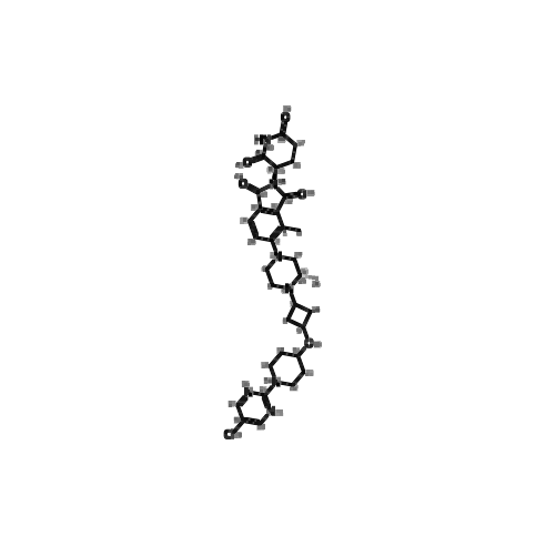 Cc1c(N2CCN(C3CC(OC4CCN(c5ncc(Cl)cn5)CC4)C3)[C@@H](C)C2)ccc2c1C(=O)N([C@@H]1CCC(=O)NC1=O)C2=O